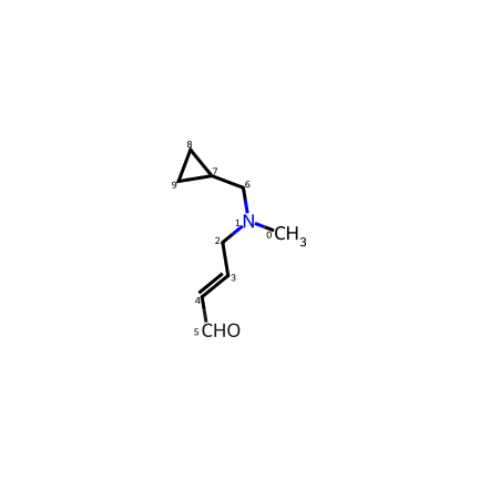 CN(CC=CC=O)CC1CC1